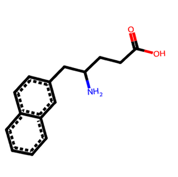 NC(CCC(=O)O)Cc1ccc2ccccc2c1